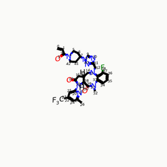 C=CC(=O)N1CCC(n2cnc(CN3C[C@H]4CC(=O)N(c5cc(C(F)(F)F)cc(C)n5)[C@@H]4C(=O)N(C)c4cccc(F)c43)n2)CC1